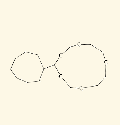 [CH]1CCCCCCC1C1[CH]CCCCCCCCCC1